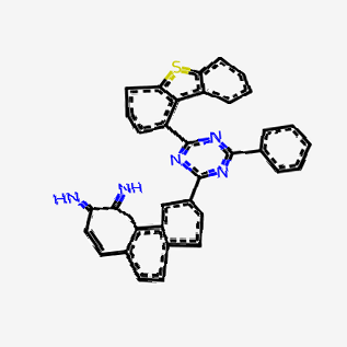 N=C1C=Cc2ccc3ccc(-c4nc(-c5ccccc5)nc(-c5cccc6sc7ccccc7c56)n4)cc3c2C1=N